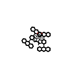 CCC1=Cc2c(-c3c4ccccc4cc4ccccc34)ccc(-c3c4ccccc4cc4ccccc34)c2[CH]1[Zr]([Cl])([Cl])([CH]1C(CC)=Cc2c(-c3c4ccccc4cc4ccccc34)ccc(-c3c4ccccc4cc4ccccc34)c21)[SiH](C)C